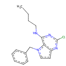 CCCCNc1nc(Cl)nc2ccn(Cc3ccccc3)c12